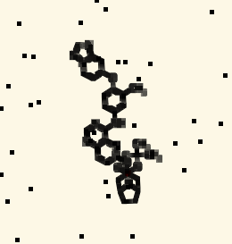 Cc1cc(Nc2ncnc3ccc(OC4CC5CCC(C4)N5C(=O)OC(C)(C)C)nc23)ccc1Oc1ccn2ncnc2c1